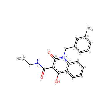 O=C(O)CNC(=O)c1c(O)c2ccccc2n(Cc2cccc([N+](=O)[O-])c2)c1=O